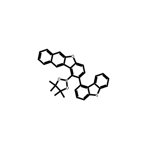 CC1(C)OB(c2c(-c3cccc4sc5ccccc5c34)ccc3oc4cc5ccccc5cc4c23)OC1(C)C